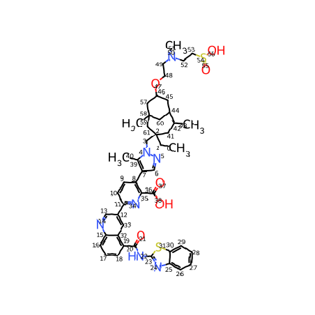 CCC1(Cn2ncc(-c3ccc(-c4cnc5cccc(C(=O)Nc6nc7ccccc7s6)c5c4)nc3C(=O)O)c2C)CC(C)C2CC(OCCN(C)CCS(=O)O)CC(C)(C2)C1